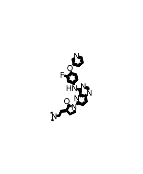 CN(C)C/C=C1\CCN(c2ccc3ncnc(Nc4ccc(Oc5cccnc5)c(F)c4)c3n2)C1=O